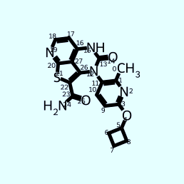 Cc1nc(OC2CCC2)ccc1N1C(=O)Nc2ccnc3sc(C(N)=O)c1c23